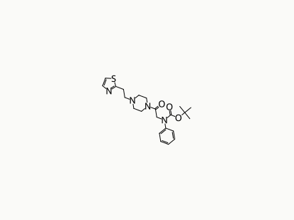 CC(C)(C)OC(=O)N(CC(=O)N1CCN(CCc2nccs2)CC1)c1ccccc1